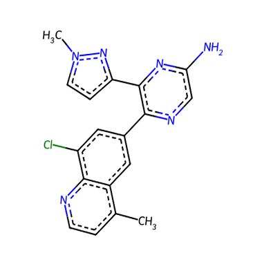 Cc1ccnc2c(Cl)cc(-c3ncc(N)nc3-c3ccn(C)n3)cc12